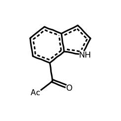 CC(=O)C(=O)c1cccc2cc[nH]c12